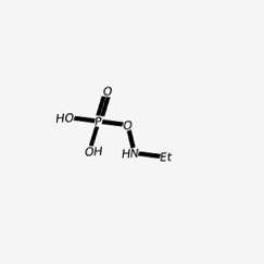 CCNOP(=O)(O)O